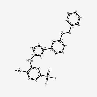 CCS(=O)(=O)c1ccc(OC)c(Nc2ncc(-c3cccc(OCc4ccccc4)c3)o2)c1